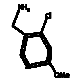 COc1[c]cc(CN)c(Cl)c1